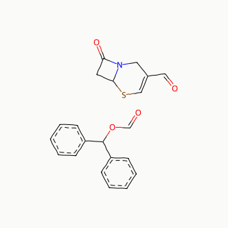 O=CC1=CSC2CC(=O)N2C1.O=COC(c1ccccc1)c1ccccc1